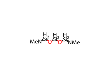 CN[SiH2]O[SiH2]O[SiH2]NC